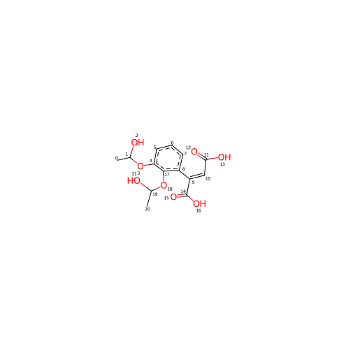 CC(O)Oc1cccc(/C(=C\C(=O)O)C(=O)O)c1OC(C)O